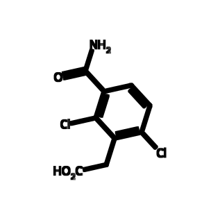 NC(=O)c1ccc(Cl)c(CC(=O)O)c1Cl